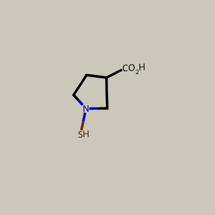 O=C(O)C1CCN(S)C1